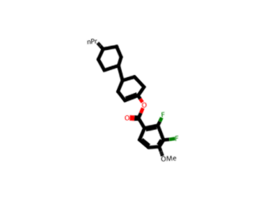 CCCC1CCC(C2CC=C(OC(=O)c3ccc(OC)c(F)c3F)CC2)CC1